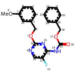 COc1cccc(COc2ncc(F)c(NC(=O)OCc3ccccc3)n2)c1